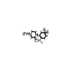 CC(C)N1CCN([C@H]2CCCC(F)(F)C2)[C@H](C)C1